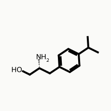 CC(C)c1ccc(C[C@@H](N)CO)cc1